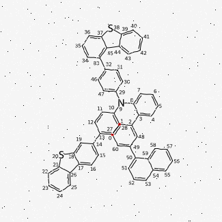 c1cc(-c2ccccc2N(c2ccc(-c3ccc4c(c3)sc3ccccc34)cc2)c2ccc(-c3cccc4sc5ccccc5c34)cc2)cc(-c2cccc3ccccc23)c1